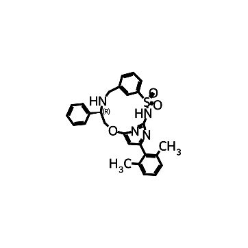 Cc1cccc(C)c1-c1cc2nc(n1)NS(=O)(=O)c1cccc(c1)CN[C@H](c1ccccc1)CO2